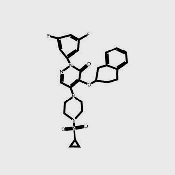 O=c1c(OC2CCc3ccccc3C2)c(N2CCN(S(=O)(=O)C3CC3)CC2)cnn1-c1cc(F)cc(F)c1